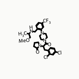 COCC(C)NCc1ccc(C(F)(F)F)cc1N1CCN(C(=O)C(Cc2ccc(Cl)cc2Cl)N2CCCC2=O)CC1